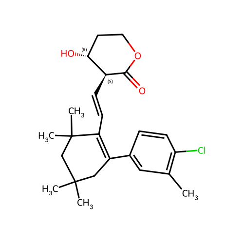 Cc1cc(C2=C(C=C[C@@H]3C(=O)OCC[C@H]3O)C(C)(C)CC(C)(C)C2)ccc1Cl